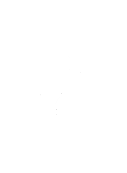 CCC1C2C(C(N)=O)O[C@H]12